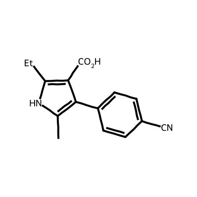 CCc1[nH]c(C)c(-c2ccc(C#N)cc2)c1C(=O)O